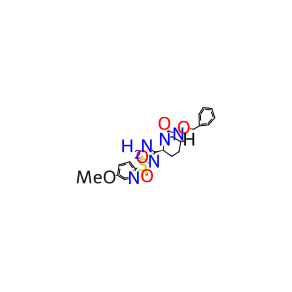 COc1ccc(S(=O)(=O)N=C(N)[C@@H]2CC[C@@H]3CN2C(=O)N3OCc2ccccc2)nc1